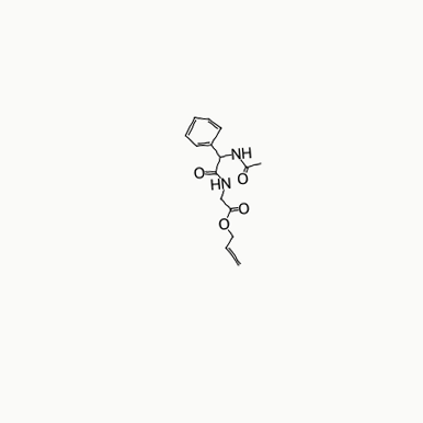 C=CCOC(=O)CNC(=O)C(NC(C)=O)c1ccccc1